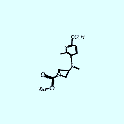 Cc1nc(C(=O)O)ccc1N(C)C1CN(C(=O)OC(C)(C)C)C1